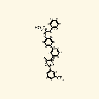 Cc1oc(-c2cccc(C(F)(F)F)c2)nc1-c1cccc(-c2ccc(OC(Cc3ccccc3)C(=O)O)cc2)c1